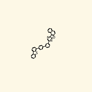 c1cc(-c2ccc(-c3cccc4c3sc3ccccc34)cc2)cc(-c2cnc3c(n2)oc2ccc4ccccc4c23)c1